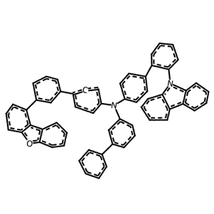 c1ccc(-c2cccc(N(c3ccc(-c4cccc(-c5cccc6oc7ccccc7c56)c4)cc3)c3ccc(-c4ccccc4-n4c5ccccc5c5ccccc54)cc3)c2)cc1